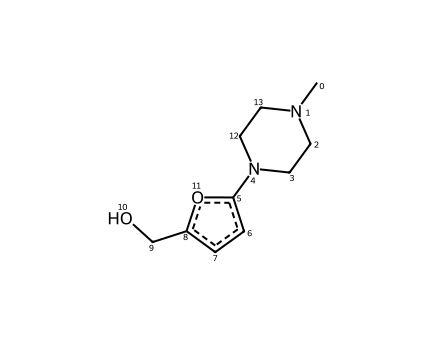 CN1CCN(c2ccc(CO)o2)CC1